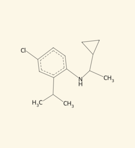 CC(C)c1cc(Cl)ccc1NC(C)C1CC1